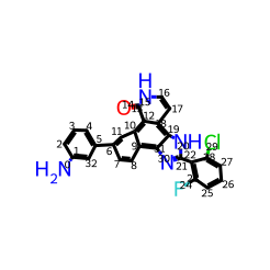 Nc1cccc(-c2ccc3c(c2)c2c(=O)[nH]ccc2c2[nH]c(-c4c(F)cccc4Cl)nc32)c1